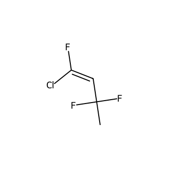 CC(F)(F)C=C(F)Cl